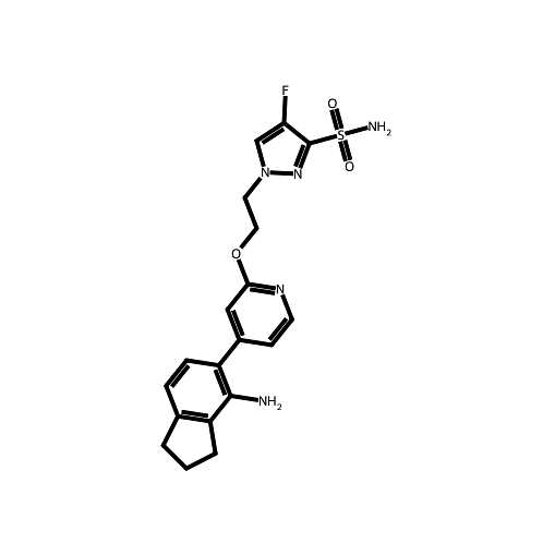 Nc1c(-c2ccnc(OCCn3cc(F)c(S(N)(=O)=O)n3)c2)ccc2c1CCC2